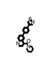 Cn1cc(-c2ccc(-c3ccc4nccc(C(=O)N5CCCCC5)c4c3)cc2)cn1